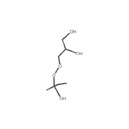 CC(C)(O)OOCC(O)CO